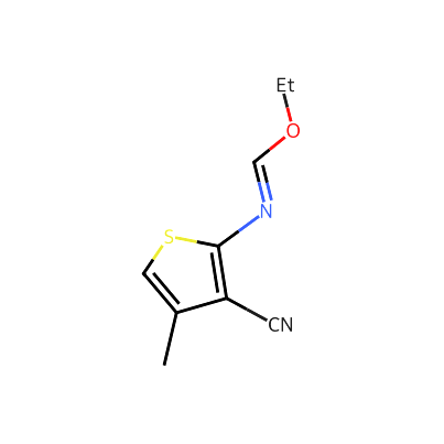 CCO/C=N/c1scc(C)c1C#N